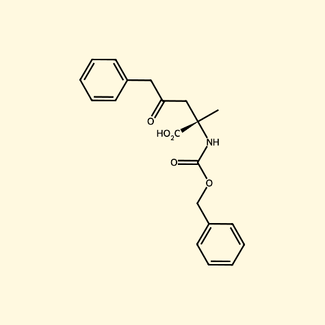 C[C@@](CC(=O)Cc1ccccc1)(NC(=O)OCc1ccccc1)C(=O)O